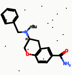 CCCCN(Cc1ccccc1)[C@@H]1COc2ccc(C(N)=O)cc2C1